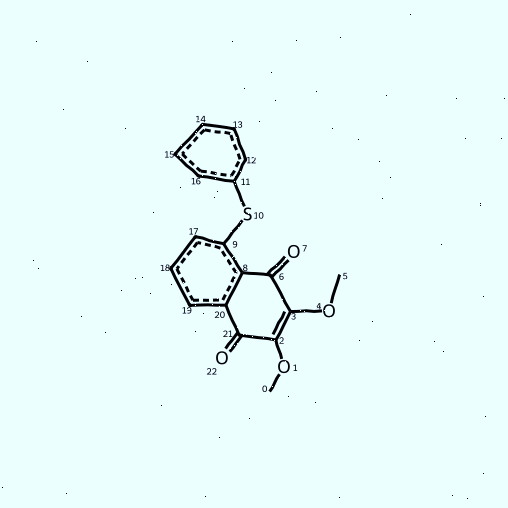 COC1=C(OC)C(=O)c2c(Sc3ccccc3)cccc2C1=O